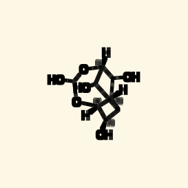 OC1O[C@H]2C(O)C3[C@@H](C2O)[C@@H](O1)[C@@H]3O